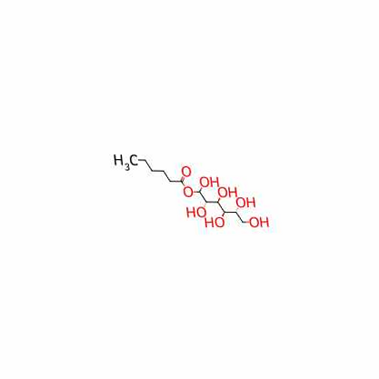 CCCCCC(=O)OC(O)[C@@H](O)[C@@H](O)[C@H](O)[C@H](O)CO